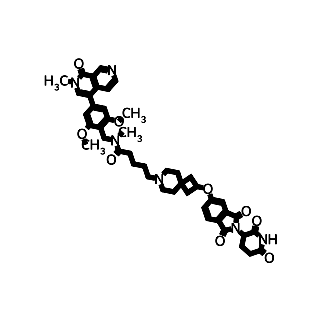 COc1cc(-c2cn(C)c(=O)c3cnccc23)cc(OC)c1CN(C)C(=O)CCCCN1CCC2(CC1)CC(Oc1ccc3c(c1)C(=O)N(C1CCC(=O)NC1=O)C3=O)C2